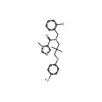 Cn1cncc1C(=O)N(Cc1ccccc1Cl)CC(C)(C)COc1ccc(C(F)(F)F)cc1